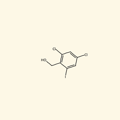 OCc1c(Cl)cc(Cl)cc1I